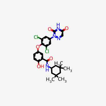 CC1(C)CC(NC(=O)c2cc(Oc3c(Cl)cc(-n4ncc(=O)[nH]c4=O)cc3Cl)ccc2O)CC(C)(C)C1